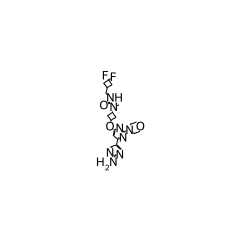 CN(C(=O)NCC1CC(F)(F)C1)[C@H]1C[C@H](Oc2cc(-c3cnc(N)nc3)nc(N3CCOCC3)n2)C1